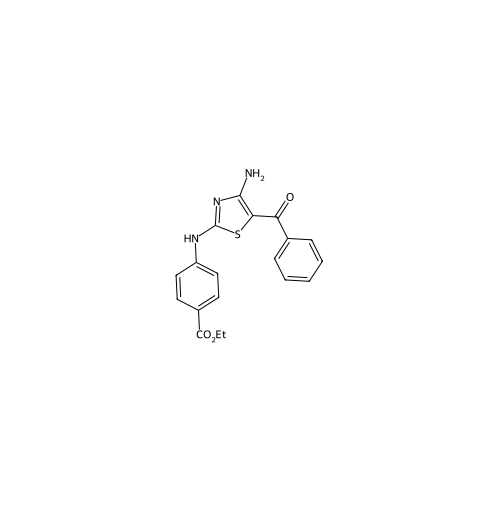 CCOC(=O)c1ccc(Nc2nc(N)c(C(=O)c3ccccc3)s2)cc1